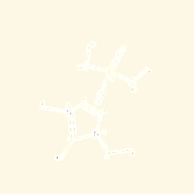 CCn1cc[n+](C)c1C.COP(=O)([O-])OC